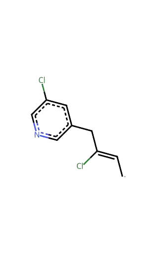 [CH2]C=C(Cl)Cc1cncc(Cl)c1